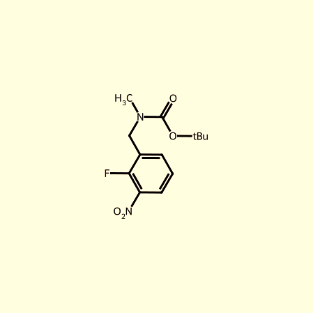 CN(Cc1cccc([N+](=O)[O-])c1F)C(=O)OC(C)(C)C